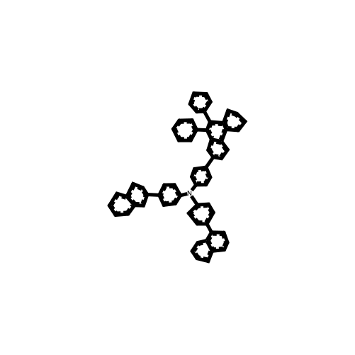 c1ccc(-c2c(-c3ccccc3)c3cc(-c4ccc(N(c5ccc(-c6ccc7ccccc7c6)cc5)c5ccc(-c6cccc7ccccc67)cc5)cc4)ccc3c3ccccc23)cc1